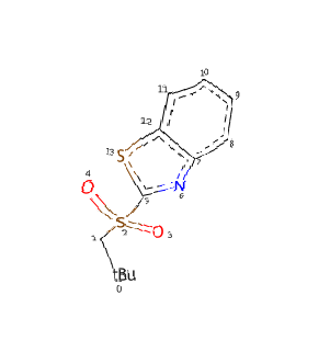 CC(C)(C)CS(=O)(=O)c1nc2ccccc2s1